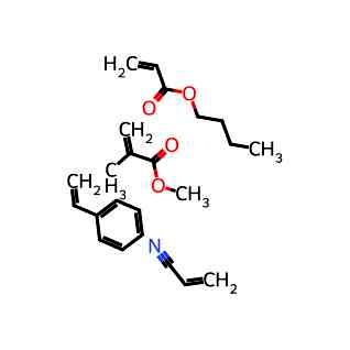 C=C(C)C(=O)OC.C=CC#N.C=CC(=O)OCCCC.C=Cc1ccccc1